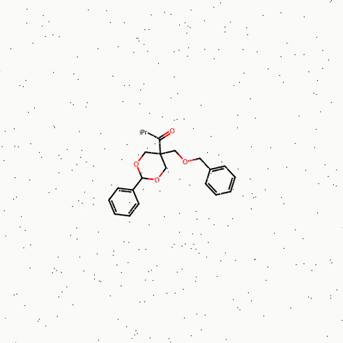 CC(C)C(=O)C1(COCc2ccccc2)COC(c2ccccc2)OC1